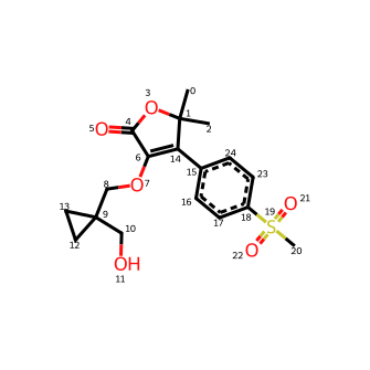 CC1(C)OC(=O)C(OCC2(CO)CC2)=C1c1ccc(S(C)(=O)=O)cc1